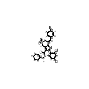 C[C@@H](NC(=O)c1c2c(nn1-c1ccc(Cl)cc1Cl)/C(=C/c1ccc(F)cc1)CS(=O)(=O)C2)C1CCCCC1